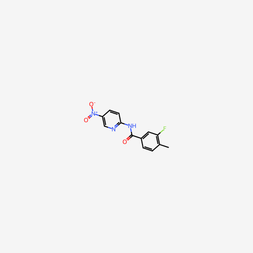 Cc1ccc(C(=O)Nc2ccc([N+](=O)[O-])cn2)cc1F